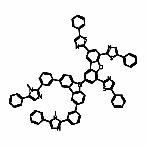 Cn1c(-c2ccccc2)cnc1-c1cccc(-c2ccc3c(c2)c2cc(-c4cccc(-c5ncc(-c6ccccc6)n5C)c4)ccc2n3-c2cc(-c3ncc(-c4ccccc4)s3)c3oc4c(-c5ncc(-c6ccccc6)s5)cc(-c5ncc(-c6ccccc6)s5)cc4c3c2)c1